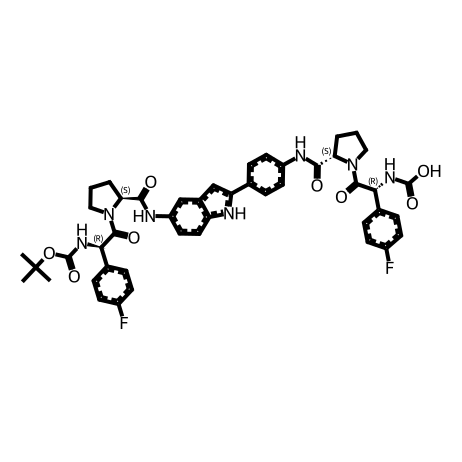 CC(C)(C)OC(=O)N[C@@H](C(=O)N1CCC[C@H]1C(=O)Nc1ccc2[nH]c(-c3ccc(NC(=O)[C@@H]4CCCN4C(=O)[C@H](NC(=O)O)c4ccc(F)cc4)cc3)cc2c1)c1ccc(F)cc1